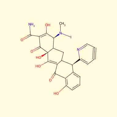 CN(I)[C@@H]1C(O)=C(C(N)=O)C(=O)[C@@]2(O)C(O)=C3C(=O)c4c(O)cccc4[C@H](c4cc#ccn4)C3CC12